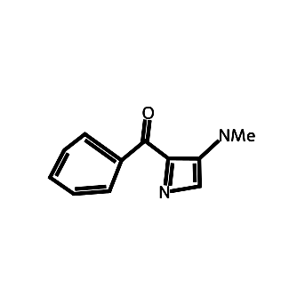 CNC1=CN=C1C(=O)c1ccccc1